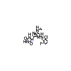 O=C1NC(=O)/C(=C/c2cnn3c(NC4CC4)cc(NCc4c(F)cccc4Cl)nc23)N1